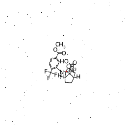 COC(=O)c1ccc(C(F)(F)F)c(N[C@@H](C)[C@H]2[C@@H]3CC[C@H]2CN(C(=O)O)C3)c1